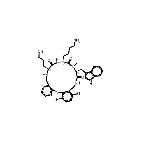 CN1C(=O)[C@H](CCCCN)NC(=O)[C@H](CCCN)NCc2nccnc2Sc2c(Cl)ccc(Cl)c2CNC(=O)[C@@H]1Cc1c[nH]c2ccccc12